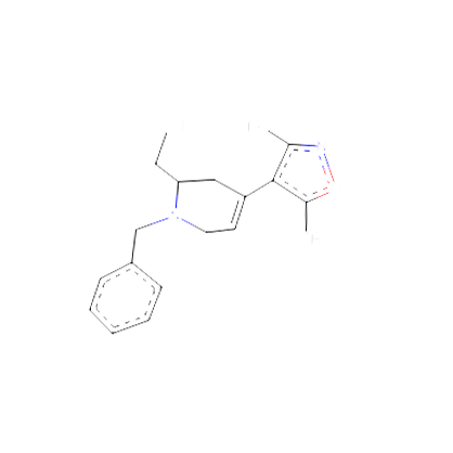 CCC1CC(c2c(C)noc2C)=CCN1Cc1ccccc1